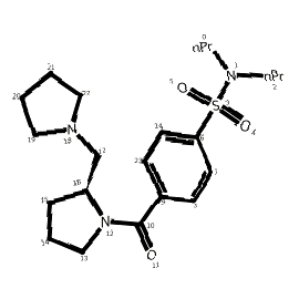 CCCN(CCC)S(=O)(=O)c1ccc(C(=O)N2CCC[C@H]2CN2CCCC2)cc1